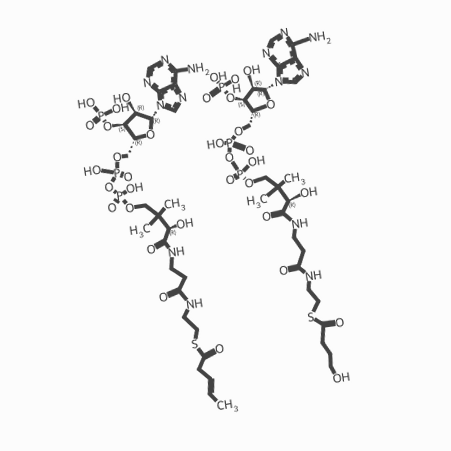 CC(C)(COP(=O)(O)OP(=O)(O)OC[C@H]1O[C@@H](n2cnc3c(N)ncnc32)[C@H](O)[C@@H]1OP(=O)(O)O)[C@@H](O)C(=O)NCCC(=O)NCCSC(=O)CCCO.CC=CCC(=O)SCCNC(=O)CCNC(=O)[C@H](O)C(C)(C)COP(=O)(O)OP(=O)(O)OC[C@H]1O[C@@H](n2cnc3c(N)ncnc32)[C@H](O)[C@@H]1OP(=O)(O)O